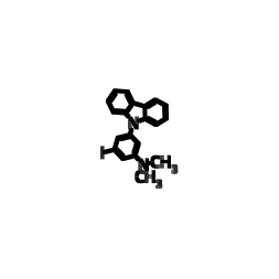 CN(C)c1cc(I)cc(-n2c3ccccc3c3ccccc32)c1